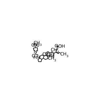 CC/C=C(\CCC(=O)O)C1=CCC2(C)C(CCC3(C)C2CCC2C4CCCC4(NCC(=O)N4CCC(S(C)(=O)=O)CC4)CC[C@]23C)C1C